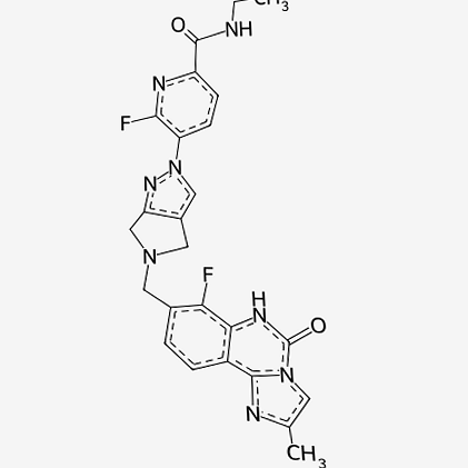 CCNC(=O)c1ccc(-n2cc3c(n2)CN(Cc2ccc4c([nH]c(=O)n5cc(C)nc45)c2F)C3)c(F)n1